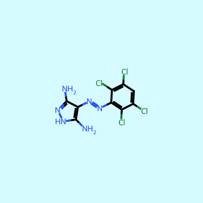 Nc1n[nH]c(N)c1N=Nc1c(Cl)c(Cl)cc(Cl)c1Cl